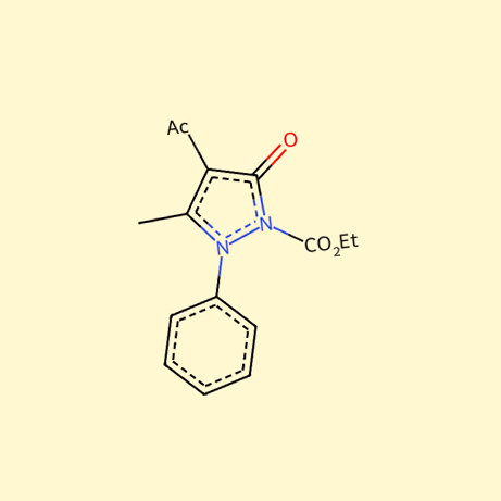 CCOC(=O)n1c(=O)c(C(C)=O)c(C)n1-c1ccccc1